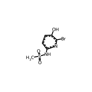 CS(=O)(=O)Nc1ccc(O)c(Br)n1